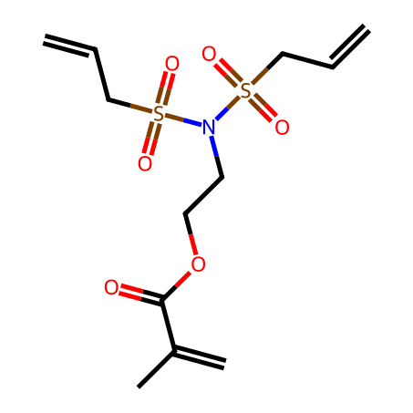 C=CCS(=O)(=O)N(CCOC(=O)C(=C)C)S(=O)(=O)CC=C